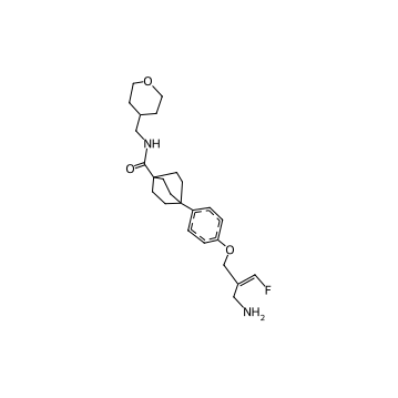 NCC(=CF)COc1ccc(C23CCC(C(=O)NCC4CCOCC4)(CC2)CC3)cc1